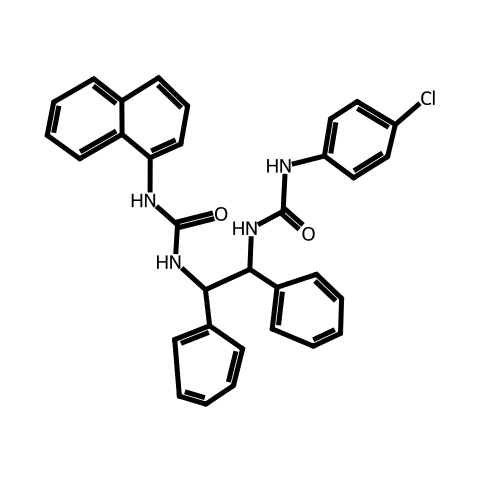 O=C(Nc1ccc(Cl)cc1)NC(c1ccccc1)C(NC(=O)Nc1cccc2ccccc12)c1ccccc1